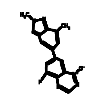 Cc1cc(-c2cc(F)c3ncn[n+]([O-])c3c2)cc2cn(C)nc12